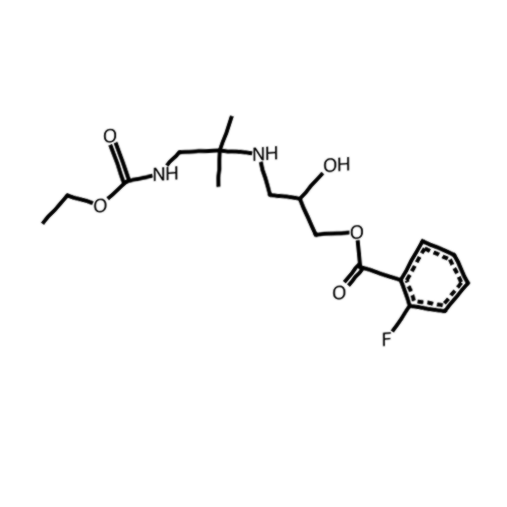 CCOC(=O)NCC(C)(C)NCC(O)COC(=O)c1ccccc1F